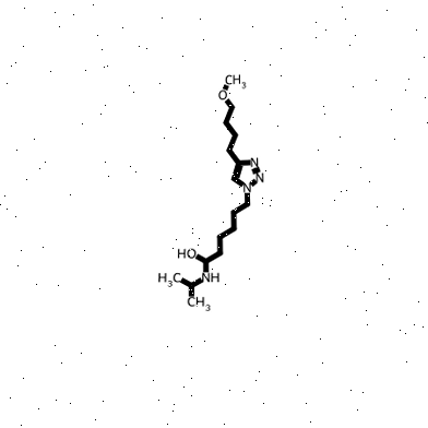 COCCCCc1cn(CCCCCC(O)NC(C)C)nn1